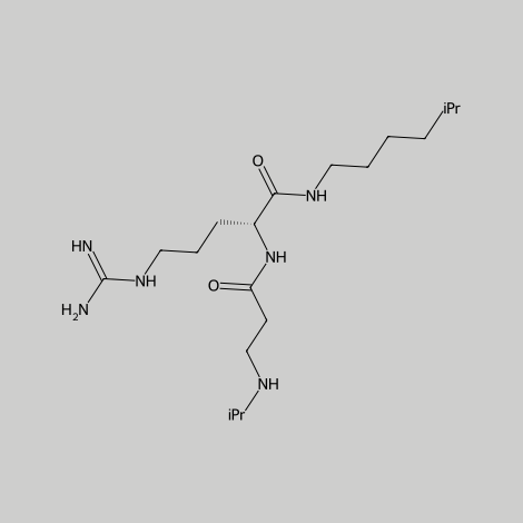 CC(C)CCCCNC(=O)[C@@H](CCCNC(=N)N)NC(=O)CCNC(C)C